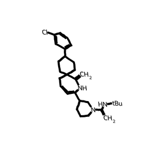 C=C(NC(C)(C)C)N1CCCC(C2=C=CCC3(CCC(c4cccc(Cl)c4)CC3)C(=C)N2)C1